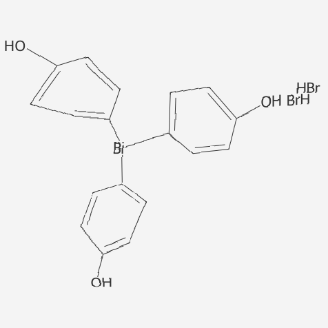 Br.Br.Oc1cc[c]([Bi]([c]2ccc(O)cc2)[c]2ccc(O)cc2)cc1